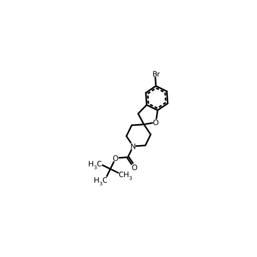 CC(C)(C)OC(=O)N1CCC2(CC1)Cc1cc(Br)ccc1O2